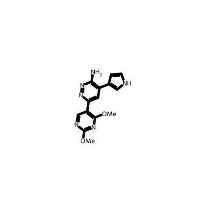 COc1ncc(-c2cc(-c3cc[nH]c3)c(N)nn2)c(OC)n1